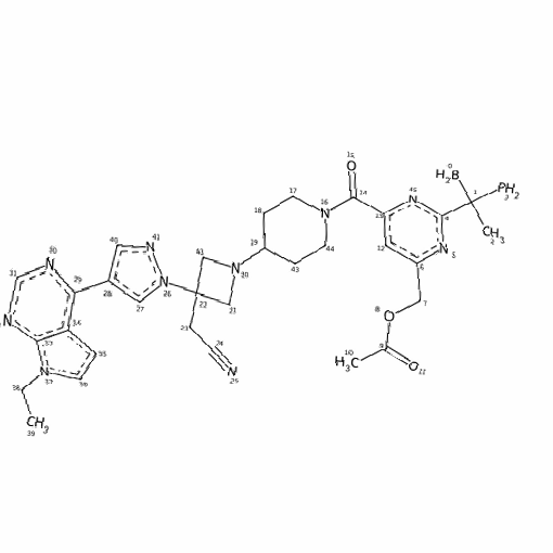 BC(C)(P)c1nc(COC(C)=O)cc(C(=O)N2CCC(N3CC(CC#N)(n4cc(-c5ncnc6c5ccn6CC)cn4)C3)CC2)n1